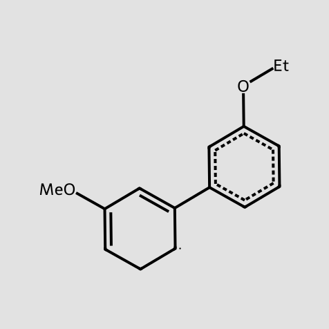 CCOc1cccc(C2=CC(OC)=CC[CH]2)c1